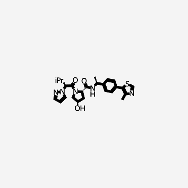 Cc1ncsc1-c1ccc([C@H](C)NC(=O)[C@@H]2C[C@@H](O)CN2C(=O)[C@H](C(C)C)n2cccn2)cc1